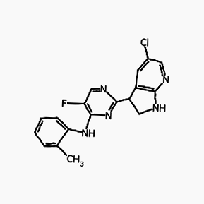 Cc1ccccc1Nc1nc(C2CNc3ncc(Cl)cc32)ncc1F